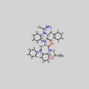 CC(C)(C)C(=O)CN1C(=O)C(NC(=O)[C@H](Cc2ccccc2)N(C(N)=S)c2ccccc2)CN(c2ccccc2)c2ccccc21